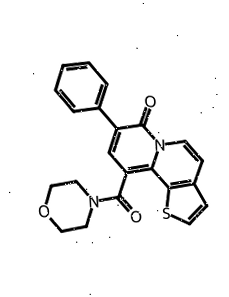 O=C(c1cc(-c2ccccc2)c(=O)n2ccc3ccsc3c12)N1CCOCC1